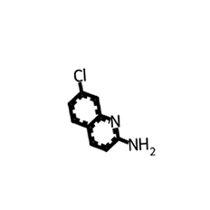 Nc1ccc2ccc(Cl)cc2n1